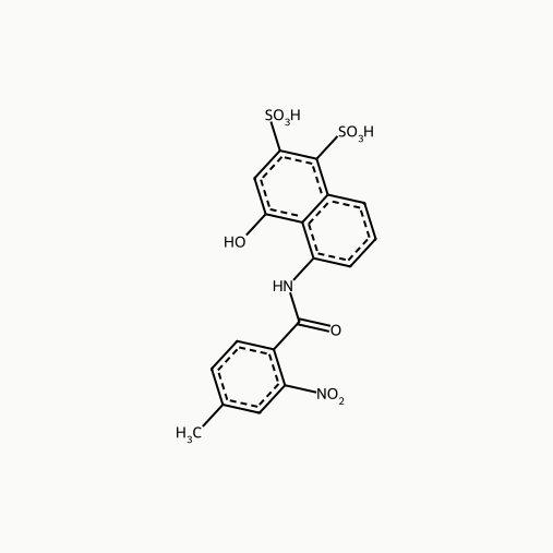 Cc1ccc(C(=O)Nc2cccc3c(S(=O)(=O)O)c(S(=O)(=O)O)cc(O)c23)c([N+](=O)[O-])c1